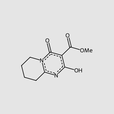 COC(=O)c1c(O)nc2n(c1=O)CCCC2